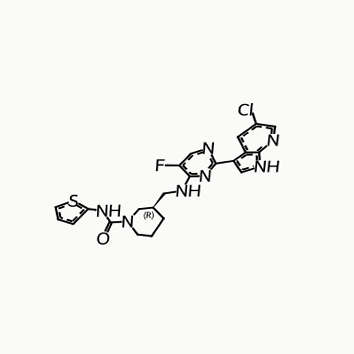 O=C(Nc1cccs1)N1CCC[C@H](CNc2nc(-c3c[nH]c4ncc(Cl)cc34)ncc2F)C1